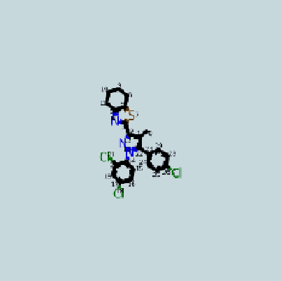 Cc1c(-c2nc3c(s2)CCCC3)nn(-c2ccc(Cl)cc2Cl)c1-c1ccc(Cl)cc1